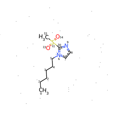 CCCCCCn1ccnc1S(C)(=O)=O